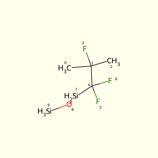 CC(C)(F)C(F)(F)[SiH2]O[SiH3]